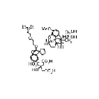 CCN(CC)CCOCCOC(=O)C1(c2ccccc2)CCCC1.COc1ccc2c3c1O[C@H]1[C@@H](O)CC[C@H]4[C@@H](C2)N(C)CC[C@@]341.O=C(O)CC(O)(CC(=O)O)C(=O)O.O=P(O)(O)O